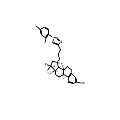 C[C@]12CC[C@@H]3c4ccc(O)cc4CC[C@H]3[C@@H]1[C@H](CCCc1cn(-c3ccc(F)cc3F)nn1)CC2(F)F